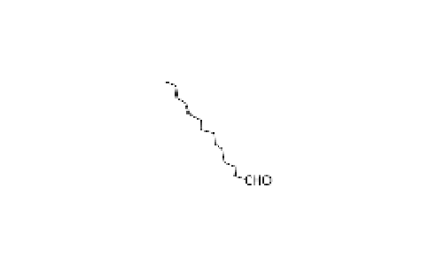 C/C=C/C=C/CCCCCCCCC=O